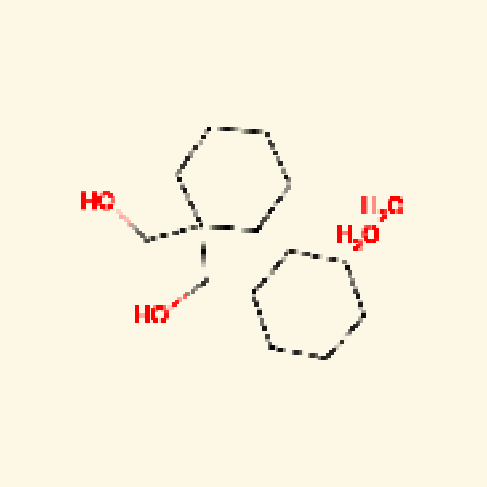 C1CCCCC1.O.O.OCC1(CO)CCCCC1